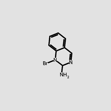 NC1N=Cc2ccccc2N1Br